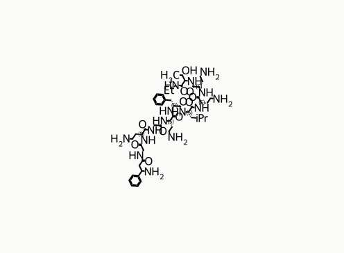 CCNC(=O)C(NC(=O)[C@H](CCN)NC(=O)[C@H](CCN)NC(=O)[C@H](CC(C)C)NC(=O)[C@@H](Cc1ccccc1)NC(=O)[C@H](CCN)NC(=O)CNC(=O)[C@H](CCN)NC(=O)CNC(=O)CC(N)c1ccccc1)C(C)O